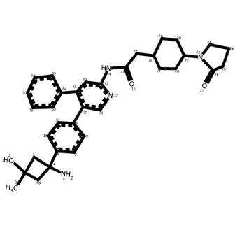 CC1(O)CC(N)(c2ccc(-c3cnc(NC(=O)CC4CCC(N5CCCC5=O)CC4)cc3-c3ccccc3)cc2)C1